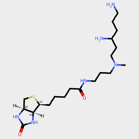 CN(CCCNC(=O)CCCC[C@@H]1SC[C@@H]2NC(=O)N[C@@H]21)CCC(N)CCCN